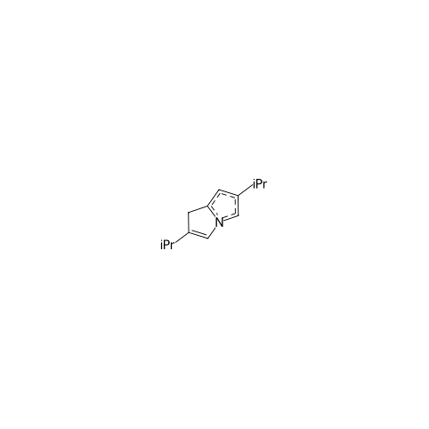 CC(C)C1=Cn2cc(C(C)C)cc2C1